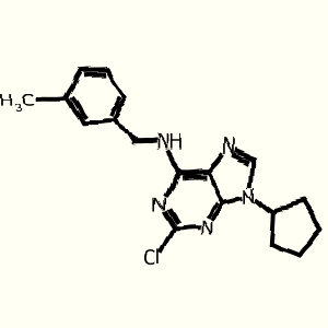 Cc1cccc(CNc2nc(Cl)nc3c2ncn3C2CCCC2)c1